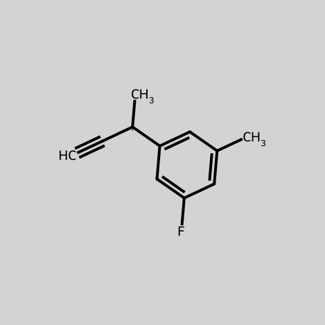 C#C[C](C)c1cc(C)cc(F)c1